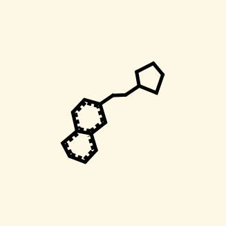 [CH](CC1CCCC1)c1ccc2ccccc2c1